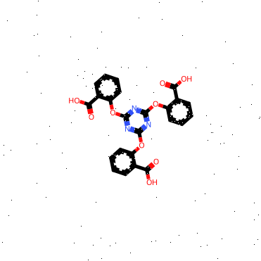 O=C(O)c1ccccc1Oc1nc(Oc2ccccc2C(=O)O)nc(Oc2ccccc2C(=O)O)n1